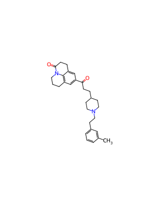 Cc1cccc(CCN2CCC(CCC(=O)c3cc4c5c(c3)CCC(=O)N5CCC4)CC2)c1